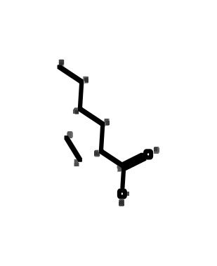 CC.CCCCCC([O])=O